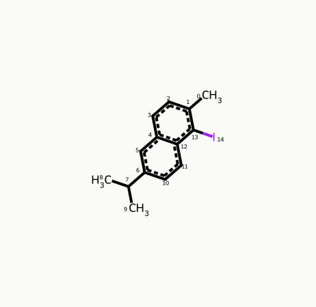 Cc1ccc2cc(C(C)C)ccc2c1I